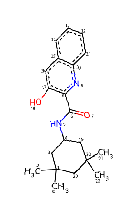 CC1(C)CC(NC(=O)c2nc3ccccc3cc2O)CC(C)(C)C1